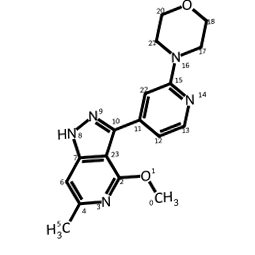 COc1nc(C)cc2[nH]nc(-c3ccnc(N4CCOCC4)c3)c12